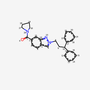 O=C(c1ccc2cn(CCC(c3ccccc3)c3ccccc3)nc2c1)N1CCCC1